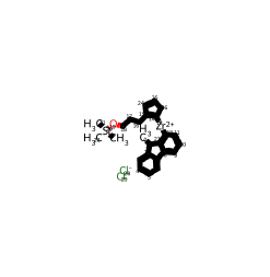 CC1c2ccccc2-c2ccc[c]([Zr+2][C]3=C(CCCO[Si](C)(C)C)C=CC3)c21.[Cl-].[Cl-]